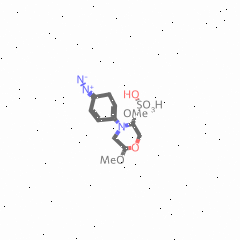 COC1CN(C2=CCC(=[N+]=[N-])C=C2)C(OC)CO1.O=S(=O)(O)O